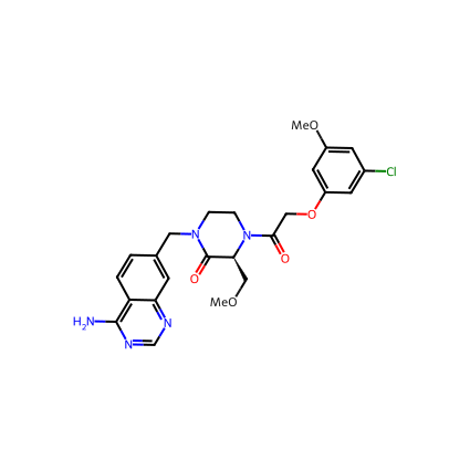 COC[C@H]1C(=O)N(Cc2ccc3c(N)ncnc3c2)CCN1C(=O)COc1cc(Cl)cc(OC)c1